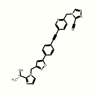 C[C@H](O)c1nccn1Cc1cc(-c2ccc(C#Cc3ccc(Cn4cnnc4C#N)nc3)cc2)on1